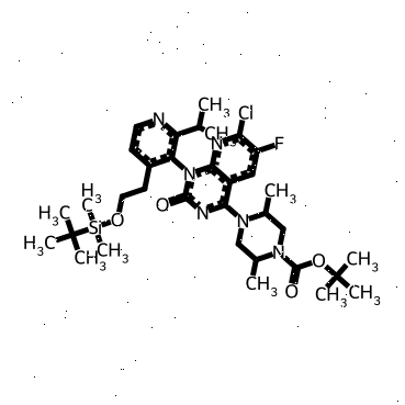 CC(C)c1nccc(CCO[Si](C)(C)C(C)(C)C)c1-n1c(=O)nc(N2CC(C)N(C(=O)OC(C)(C)C)CC2C)c2cc(F)c(Cl)nc21